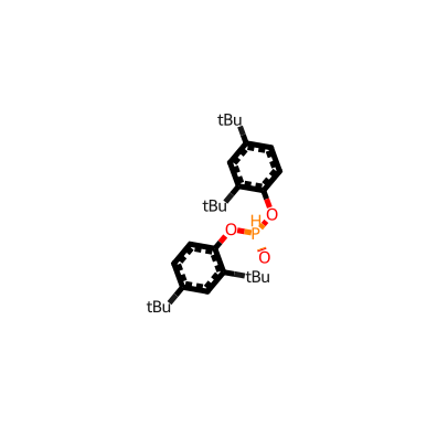 CC(C)(C)c1ccc(O[PH](=O)Oc2ccc(C(C)(C)C)cc2C(C)(C)C)c(C(C)(C)C)c1